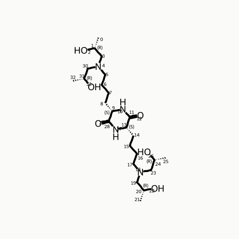 C[C@@H](O)CN(CCCC[C@@H]1NC(=O)[C@H](CCCCN(C[C@@H](C)O)C[C@@H](C)O)NC1=O)C[C@@H](C)O